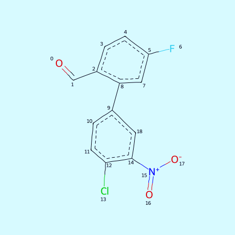 O=Cc1ccc(F)cc1-c1ccc(Cl)c([N+](=O)[O-])c1